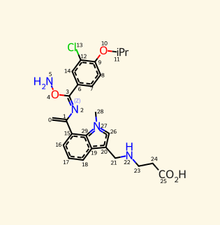 C=C(/N=C(\ON)c1ccc(OC(C)C)c(Cl)c1)c1cccc2c(CNCCC(=O)O)cn(C)c12